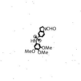 COc1cc(NS(=O)(=O)c2ccc3c(c2)CCN3C=O)cc(OC)c1OC